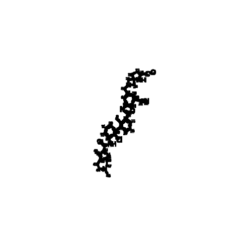 Cc1c(-c2nc3cc(CN4CC5(CCC(=C=O)N5)C4)cc(C#N)c3o2)cccc1-c1cccc(NC(=O)c2nc3c(n2C)CCN(C)C3)c1Cl